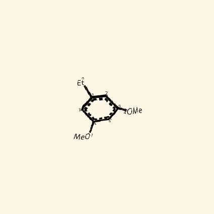 CCc1cc(OC)[c]c(OC)c1